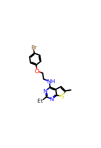 CCc1nc(NCCOc2ccc(Br)cc2)c2cc(C)sc2n1